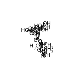 CCn1c(CN(C=O)c2nc3cn[nH]c3nc2N)[n+](CC)c2ccc(C(=O)N3CCC(N(C[C@H](O)[C@@H](O)[C@H](O)[C@H](O)CO)C[C@H](O)[C@@H](O)[C@H](O)[C@H](O)CO)CC3)cc21